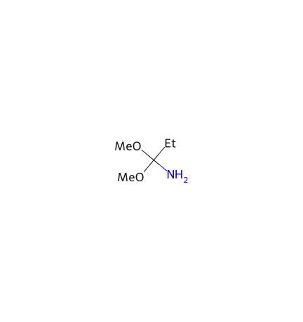 CCC(N)(OC)OC